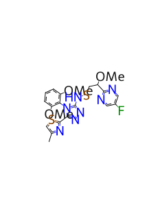 COc1cccc(OC)c1-n1c(NSCC(OC)c2ncc(F)cn2)nnc1-c1nc(C)cs1